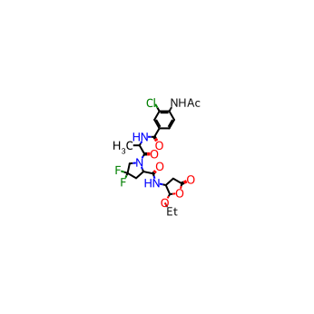 CCOC1OC(=O)CC1NC(=O)C1CC(F)(F)CN1C(=O)C(C)NC(=O)c1ccc(NC(C)=O)c(Cl)c1